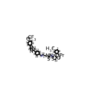 Cc1ccc(C(C)C)c(N2C(=O)CS/C2=N\C(=S)NC/C=C/c2ccc(-c3ncn(-c4ccc(OC(F)(F)F)cc4)n3)cc2)c1